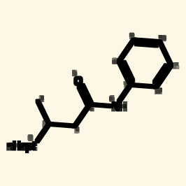 CCCCCCCC(C)CC(=O)Nc1ccccc1